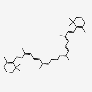 CC(C=CC=C(C)C=CC1=C(C)CCCC1(C)C)=C[CH]CC=C(C)C=CC=C(C)C=CC1=C(C)CCCC1(C)C